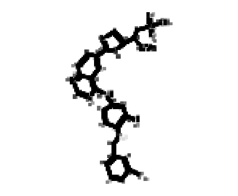 CN[C@H](CS(C)(=O)=O)c1cnc(-c2ccc3ncnc(Nc4ccc(OCc5cccc(F)c5)c(Cl)c4)c3c2)s1